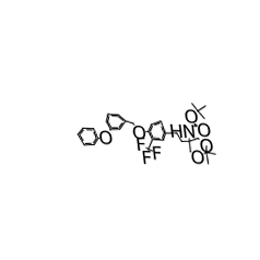 CC(C)(C)OC(=O)NC1(CCc2ccc(OCc3cccc(Oc4ccccc4)c3)c(C(F)(F)F)c2)COC(C)(C)OC1